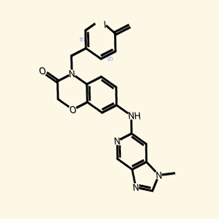 C=C(I)/C=C\C(=C/C)CN1C(=O)COc2cc(Nc3cc4c(cn3)ncn4C)ccc21